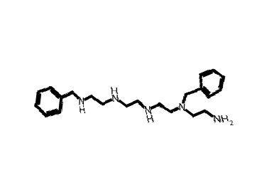 NCCN(CCNCCNCCNCc1ccccc1)Cc1ccccc1